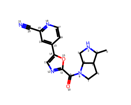 CC1NCC2C1CCN2C(=O)c1ncc(-c2ccnc(C#N)c2)o1